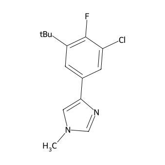 Cn1cnc(-c2cc(Cl)c(F)c(C(C)(C)C)c2)c1